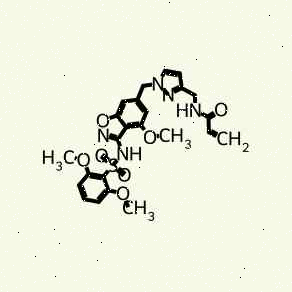 C=CC(=O)NCc1ccn(Cc2cc(OC)c3c(NS(=O)(=O)c4c(OC)cccc4OC)noc3c2)n1